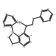 c1ccc(CCC2Nc3ccccc3N3CCc4cccc2c43)cc1